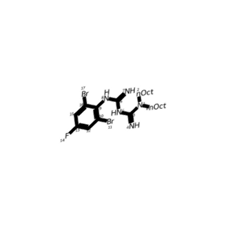 CCCCCCCCN(CCCCCCCC)C(=N)NC(=N)Nc1c(Br)cc(F)cc1Br